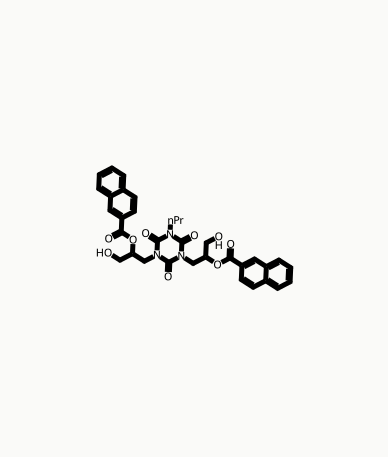 CCCn1c(=O)n(CC(CO)OC(=O)c2ccc3ccccc3c2)c(=O)n(CC(CO)OC(=O)c2ccc3ccccc3c2)c1=O